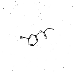 CCC(=O)Oc1cccc(Br)c1